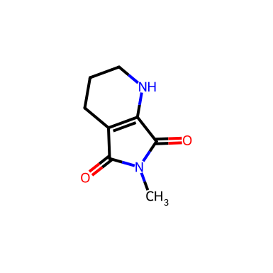 CN1C(=O)C2=C(NCCC2)C1=O